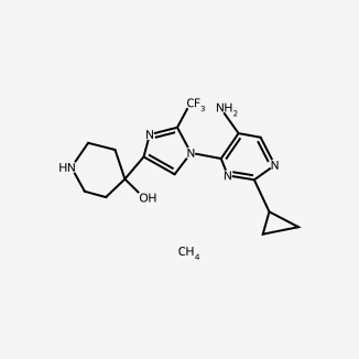 C.Nc1cnc(C2CC2)nc1-n1cc(C2(O)CCNCC2)nc1C(F)(F)F